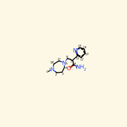 CN1CCCN(CC(C(N)=O)c2ccccn2)CC1